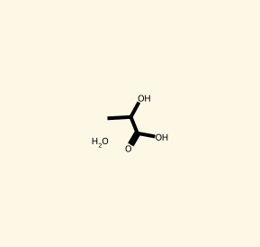 CC(O)C(=O)O.O